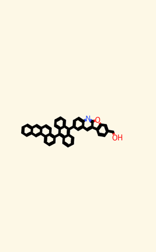 OCc1ccc2c(c1)oc1nc3ccc(-c4c5ccccc5c(-c5cccc6c5ccc5cc7ccccc7cc56)c5ccccc45)cc3cc12